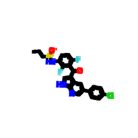 CCC[S+]([O-])Nc1ccc(F)c(C(=O)c2c[nH]c3ncc(-c4ccc(Cl)cc4)cc23)c1F